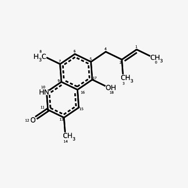 C/C=C(\C)Cc1cc(C)c2[nH]c(=O)c(C)cc2c1O